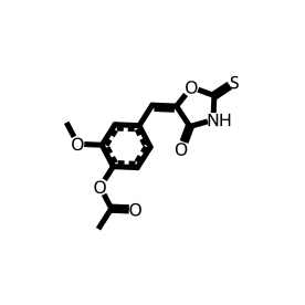 COc1cc(C=C2OC(=S)NC2=O)ccc1OC(C)=O